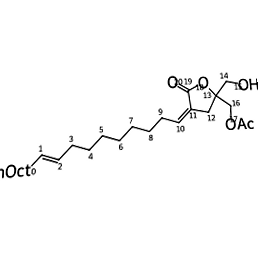 CCCCCCCCC=CCCCCCCCC=C1CC(CO)(COC(C)=O)OC1=O